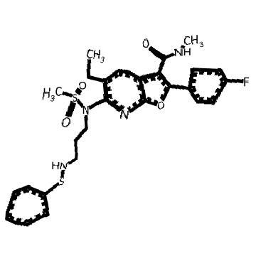 CCc1cc2c(C(=O)NC)c(-c3ccc(F)cc3)oc2nc1N(CCCNSc1ccccc1)S(C)(=O)=O